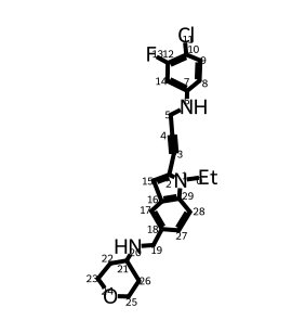 CCn1c(C#CCNc2ccc(Cl)c(F)c2)cc2cc(CNC3CCOCC3)ccc21